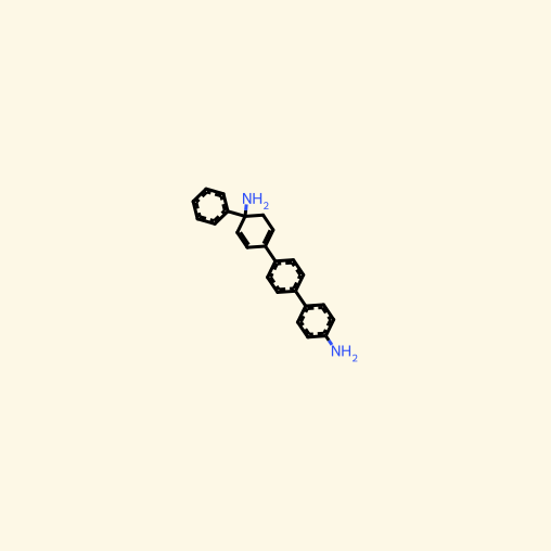 Nc1ccc(-c2ccc(C3=CCC(N)(c4ccccc4)C=C3)cc2)cc1